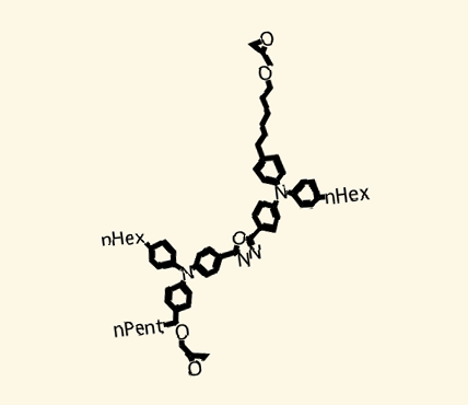 CCCCCCc1ccc(N(c2ccc(CCCCCCOCC3CO3)cc2)c2ccc(-c3nnc(-c4ccc(N(c5ccc(CCCCCC)cc5)c5ccc(C(CCCCC)OCC6CO6)cc5)cc4)o3)cc2)cc1